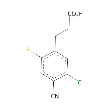 N#Cc1cc(F)c(CCC(=O)O)cc1Cl